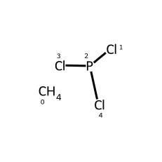 C.ClP(Cl)Cl